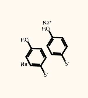 Oc1ccc([S-])cc1.Oc1ccc([S-])cc1.[Na+].[Na+]